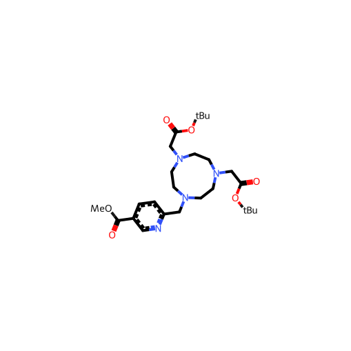 COC(=O)c1ccc(CN2CCN(CC(=O)OC(C)(C)C)CCN(CC(=O)OC(C)(C)C)CC2)nc1